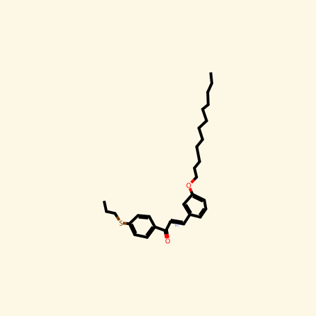 CCCCCCCCCCCCOc1cccc(/C=C/C(=O)c2ccc(SCCC)cc2)c1